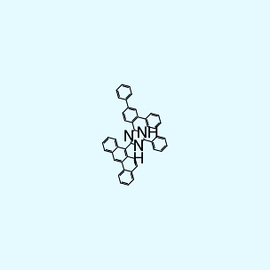 c1ccc(-c2ccc(C3N=C(c4c5ccccc5cc5c4ccc4ccccc45)NC(c4ccccc4)N3)c(-c3ccccc3)c2)cc1